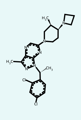 Cc1nn([C@H](C)c2ccc(Cl)cc2Cl)c2nc(N3CC[C@H](N4CCC4)[C@H](C)C3)cnc12